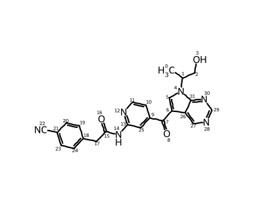 CC(CO)n1cc(C(=O)c2ccnc(NC(=O)Cc3ccc(C#N)cc3)c2)c2cncnc21